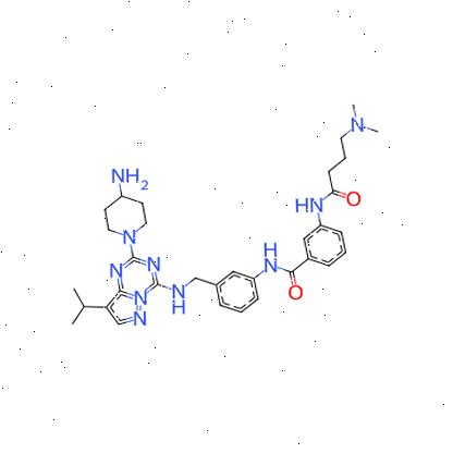 CC(C)c1cnn2c(NCc3cccc(NC(=O)c4cccc(NC(=O)CCCN(C)C)c4)c3)nc(N3CCC(N)CC3)nc12